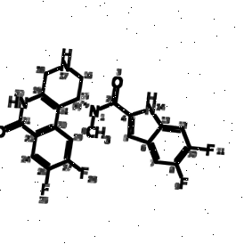 CN(C(=O)c1cc2cc(F)c(F)cc2[nH]1)[C@H]1CNCc2[nH]c(=O)c3cc(F)c(F)cc3c21